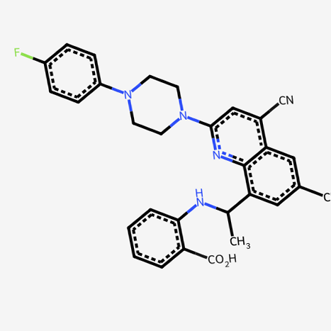 Cc1cc(C(C)Nc2ccccc2C(=O)O)c2nc(N3CCN(c4ccc(F)cc4)CC3)cc(C#N)c2c1